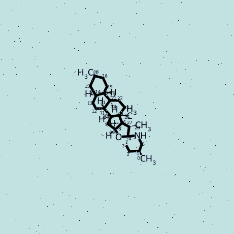 C[C@H]1CC[C@]2(NC1)O[C@H]1C[C@H]3[C@@H]4CC[C@H]5C[C@@H](C)CC[C@@H]5[C@H]4CC[C@]3(C)[C@H]1[C@@H]2C